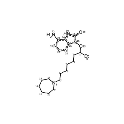 CCC(CCCCCCN1CCCCCC1)On1c(=O)[nH]c2c(N)ncnc21